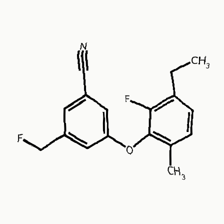 CCc1ccc(C)c(Oc2cc(C#N)cc(CF)c2)c1F